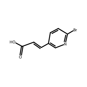 O=C(O)C=Cc1ccc(Br)nc1